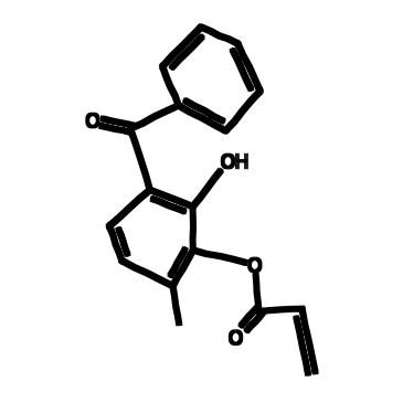 C=CC(=O)Oc1c(C)ccc(C(=O)c2ccccc2)c1O